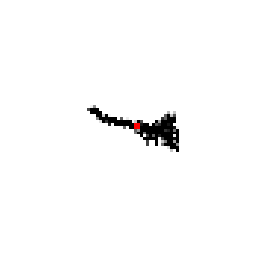 CCC#CCCCCCCCCCCSCC(=O)OCC(COP(=O)(O)OCCC)OC(=O)CSC